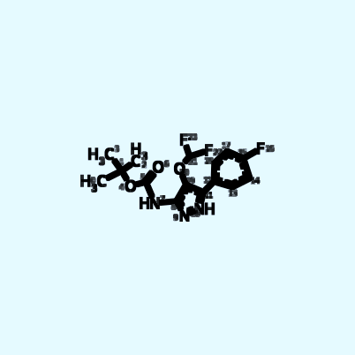 CC(C)(C)OC(=O)Nc1n[nH]c(-c2ccc(F)cc2)c1OC(F)F